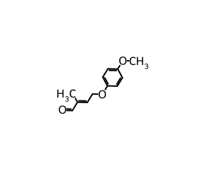 COc1ccc(OC/C=C(\C)C=O)cc1